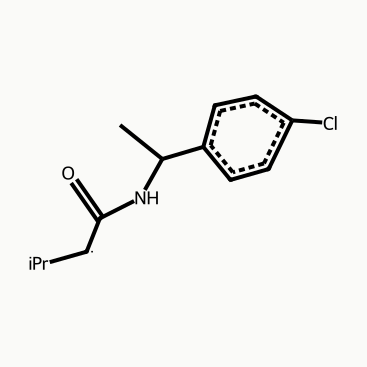 CC(C)[CH]C(=O)NC(C)c1ccc(Cl)cc1